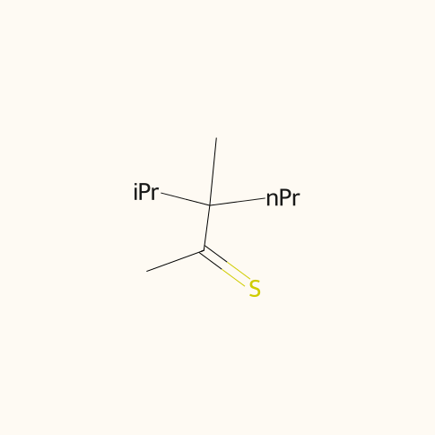 CCCC(C)(C(C)=S)C(C)C